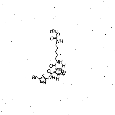 CC(C)(C)OC(=O)NCCCCCNC(=O)[C@H]1[C@H](C(=O)Nc2ncc(Br)s2)[C@@H]2CC[C@H]1C21CC1